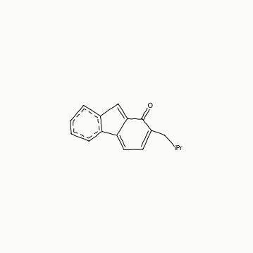 CC(C)CC1=CC=C2C(=Cc3ccccc32)C1=O